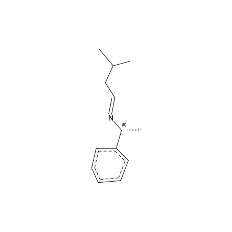 CC(C)CC=N[C@H](C)c1ccccc1